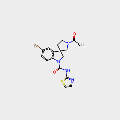 CC(=O)N1CCC2(C1)CN(C(=O)Nc1nccs1)c1ccc(Br)cc12